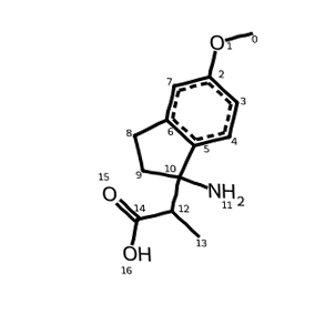 COc1ccc2c(c1)CCC2(N)C(C)C(=O)O